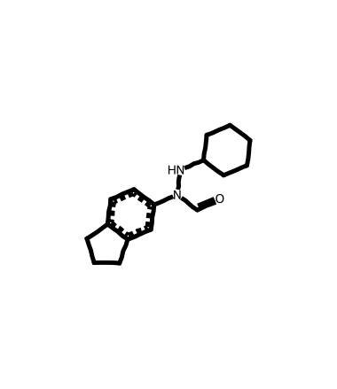 O=CN(NC1CCCCC1)c1ccc2c(c1)CCC2